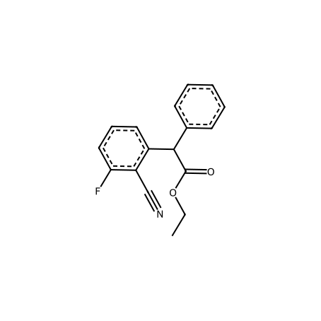 CCOC(=O)C(c1ccccc1)c1cccc(F)c1C#N